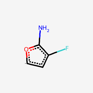 Nc1o[c]cc1F